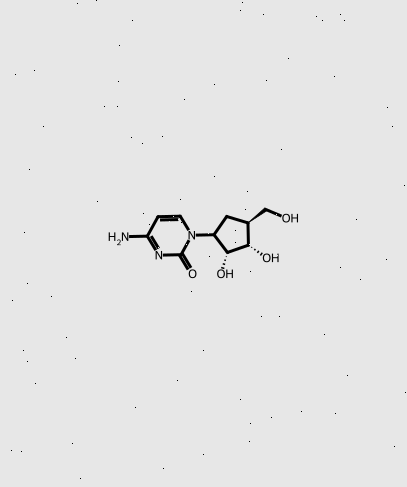 Nc1ccn(C2C[C@@H](CO)[C@H](O)[C@@H]2O)c(=O)n1